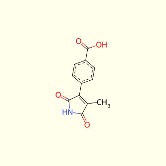 CC1=C(c2ccc(C(=O)O)cc2)C(=O)NC1=O